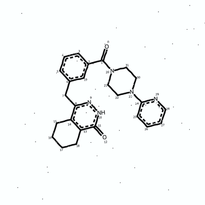 O=C(c1cccc(Cc2n[nH]c(=O)c3c2CCCC3)c1)N1CCN(c2ccccn2)CC1